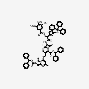 CC(=O)Oc1cc(C(=O)ON=C(C(=O)N[C@@H]2C(=O)N3C(C(=O)OC(c4ccccc4)c4ccccc4)=C(CSC4=CC(C)=NC5=CN(C(=O)OC(c6ccccc6)c6ccccc6)NN54)CS[C@H]23)c2csc(NC(c3ccccc3)(c3ccccc3)c3ccccc3)n2)cc(OC(C)=O)c1OC(C)=O